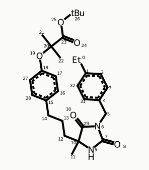 CCc1ccc(CN2C(=O)NC(C)(CCCc3ccc(OC(C)(C)C(=O)OC(C)(C)C)cc3)C2=O)cc1